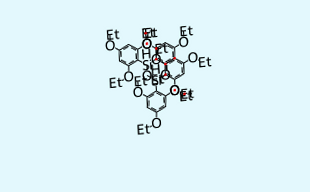 CCOc1cc(OCC)c([SiH](O[SiH](c2c(OCC)cc(OCC)cc2OCC)c2c(OCC)cc(OCC)cc2OCC)c2c(OCC)cc(OCC)cc2OCC)c(OCC)c1